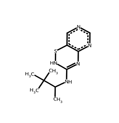 CC(NC1=Nc2ncncc2SN1)C(C)(C)C